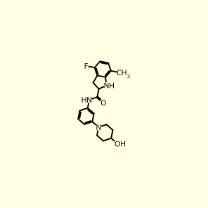 Cc1ccc(F)c2c1NC(C(=O)Nc1cccc(N3CCC(O)CC3)c1)C2